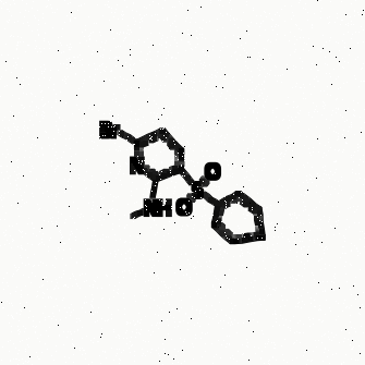 CNc1nc(Br)ccc1S(=O)(=O)c1ccccc1